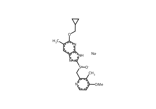 COc1ccnc(C[S+]([O-])c2nc3cc(C)c(OCC4CC4)nc3[nH]2)c1C.[Na]